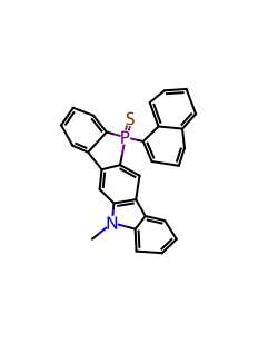 Cn1c2ccccc2c2cc3c(cc21)-c1ccccc1P3(=S)c1cccc2ccccc12